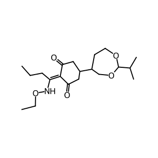 CCCC(NOCC)=C1C(=O)CC(C2CCOC(C(C)C)OC2)CC1=O